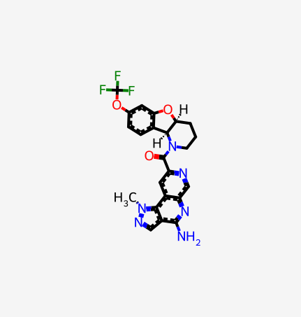 Cn1ncc2c(N)nc3cnc(C(=O)N4CCC[C@@H]5Oc6cc(OC(F)(F)F)ccc6[C@@H]54)cc3c21